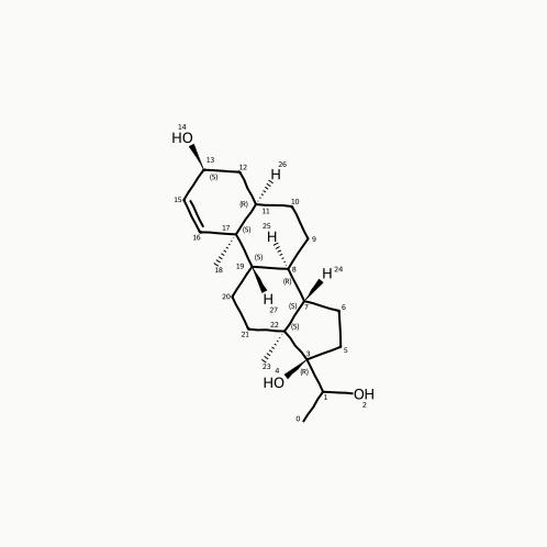 CC(O)[C@@]1(O)CC[C@H]2[C@@H]3CC[C@@H]4C[C@H](O)C=C[C@]4(C)[C@H]3CC[C@@]21C